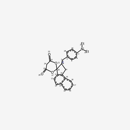 CCN(CC)c1ccc(/C=C2\Cc3c(ccc4ccccc34)C23OC(=O)CC(=O)O3)cc1